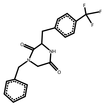 O=C1CN(Cc2ccccc2)C(=O)C(Cc2ccc(C(F)(F)F)cc2)N1